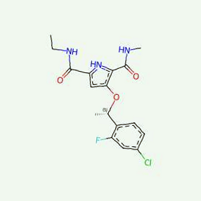 CCNC(=O)c1cc(O[C@@H](C)c2ccc(Cl)cc2F)c(C(=O)NC)[nH]1